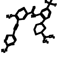 Cc1ccc(C(=O)Nc2cc(C(F)(F)F)ccc2N2CCC[C@H](N(C)C)C2)cc1C#Cc1cnc(N)nc1